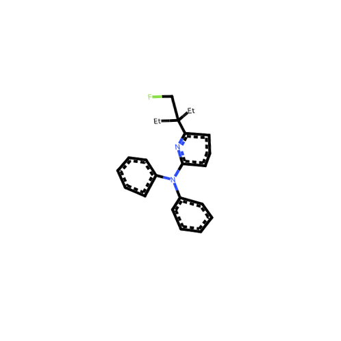 CCC(CC)(CF)c1cccc(N(c2ccccc2)c2ccccc2)n1